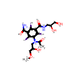 COCC(O)CN(C(C)=O)c1c(I)c(C(N)=O)c(I)c(C(=O)NCC(O)CO)c1I